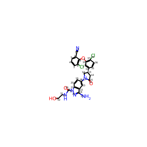 N#Cc1cccc(Cl)c1Oc1cc([C@H]2CC(=O)N(c3ccc4c(c3)c(N)nn4C(=O)NCCO)C2)ccc1Cl